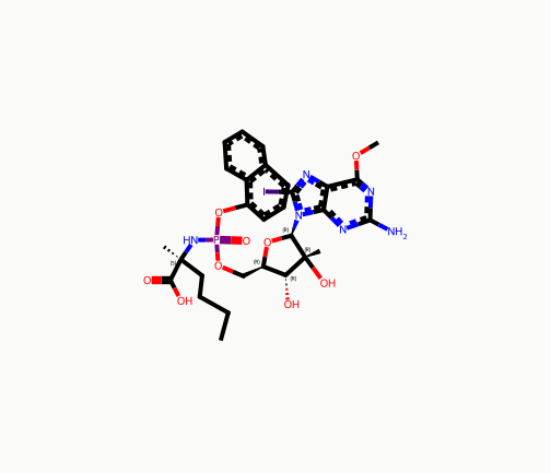 CCCC[C@](C)(NP(=O)(OC[C@H]1O[C@@H](n2c(I)nc3c(OC)nc(N)nc32)[C@](C)(O)[C@@H]1O)Oc1cccc2ccccc12)C(=O)O